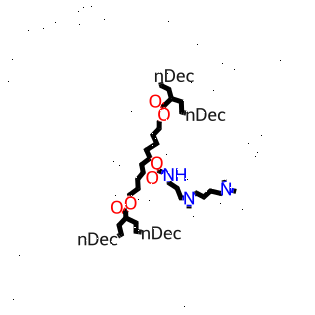 CCCCCCCCCCCCC(CCCCCCCCCCCC)C(=O)OCCCCCC(CCCCCOC(=O)C(CCCCCCCCCCCC)CCCCCCCCCCCC)OC(=O)NCCCN(C)CCCCN(C)C